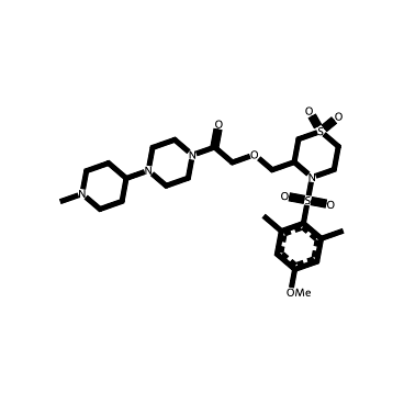 COc1cc(C)c(S(=O)(=O)N2CCS(=O)(=O)CC2COCC(=O)N2CCN(C3CCN(C)CC3)CC2)c(C)c1